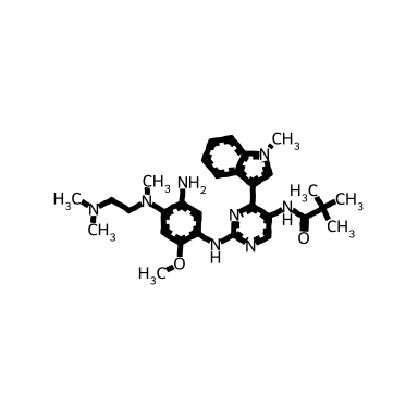 COc1cc(N(C)CCN(C)C)c(N)cc1Nc1ncc(NC(=O)C(C)(C)C)c(-c2cn(C)c3ccccc23)n1